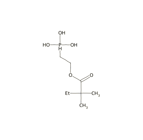 CCC(C)(C)C(=O)OCC[PH](O)(O)O